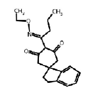 CCC/C(=N\OCC)C1C(=O)CC2(CCc3ccccc32)CC1=O